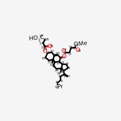 C=C(CCCC(C)C)C1CCC2C3C(OC(=O)CCC(=O)OC)C=C4CC(OC(=O)CCC(=O)O)CCC4(C)C3CCC12C